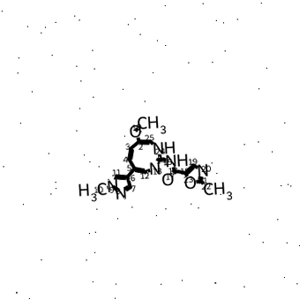 COc1ccc(-c2cnn(C)c2)cnc(NC(=O)c2cnc(C)o2)[nH]c1